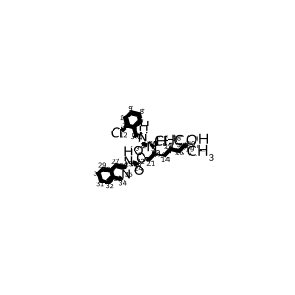 CN(C(=O)NCc1ccccc1Cl)[C@@H](CCCC(C)(C)O)COC(=O)Nc1cc2ccccc2cn1